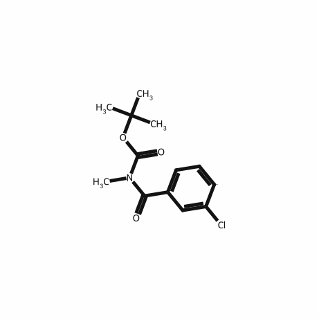 CN(C(=O)OC(C)(C)C)C(=O)c1cc[c]c(Cl)c1